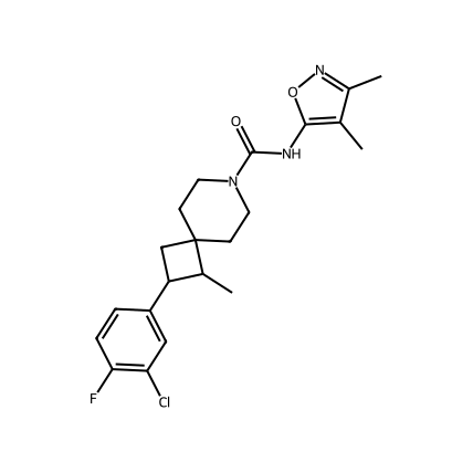 Cc1noc(NC(=O)N2CCC3(CC2)CC(c2ccc(F)c(Cl)c2)C3C)c1C